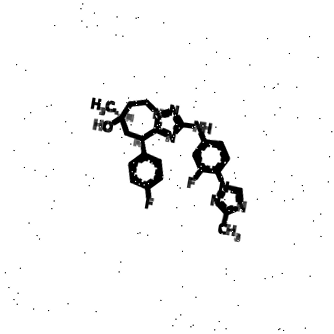 Cc1ncn(-c2ccc(Nc3nc4n(n3)CC[C@](C)(O)C[C@@H]4c3ccc(F)cc3)cc2F)n1